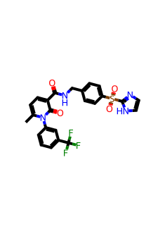 Cc1ccc(C(=O)NCc2ccc(S(=O)(=O)c3ncc[nH]3)cc2)c(=O)n1-c1cccc(C(F)(F)F)c1